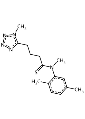 Cc1ccc(C)c(N(C)C(=S)CCCc2nnnn2C)c1